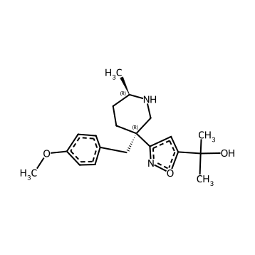 COc1ccc(C[C@]2(c3cc(C(C)(C)O)on3)CC[C@@H](C)NC2)cc1